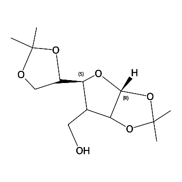 CC1(C)OCC([C@H]2O[C@@H]3OC(C)(C)OC3C2CO)O1